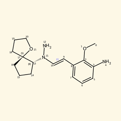 COc1c(N)cccc1/C=C/N(N)[C@@H]1CCC[C@]12CCCO2